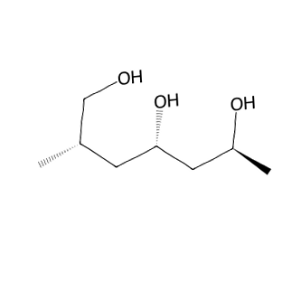 C[C@H](CO)C[C@H](O)C[C@H](C)O